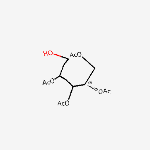 CC(=O)OC[C@H](OC(C)=O)C(OC(C)=O)C(CO)OC(C)=O